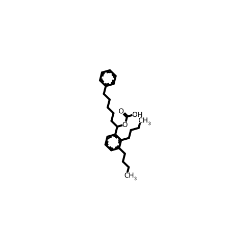 CCCCc1cccc(C(CCCCCc2ccccc2)OC(=O)O)c1CCCC